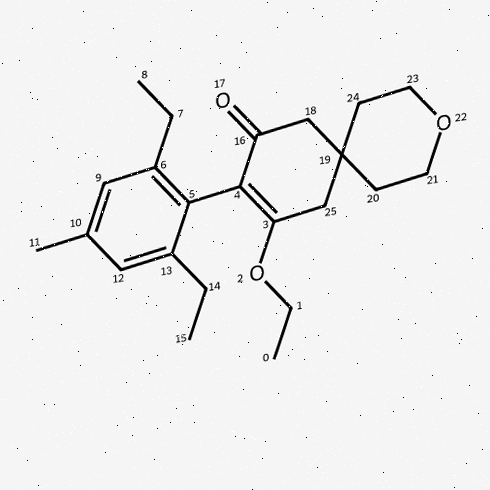 CCOC1=C(c2c(CC)cc(C)cc2CC)C(=O)CC2(CCOCC2)C1